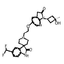 C[C@]1(O)C[C@@H](N2C(=O)Cc3cc(OCCN4CCC5(CC4)C(=O)Nc4ccc(C(F)F)cc45)cnc32)C1